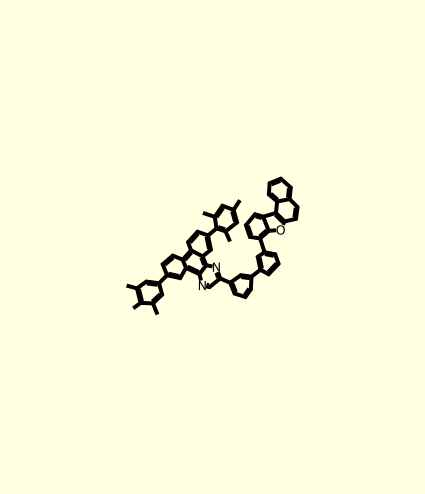 Cc1cc(C)c(-c2ccc3c4ccc(-c5cc(C)c(C)c(C)c5)cc4c4ncc(-c5cccc(-c6cccc(-c7cccc8c7oc7ccc9ccccc9c78)c6)c5)nc4c3c2)c(C)c1